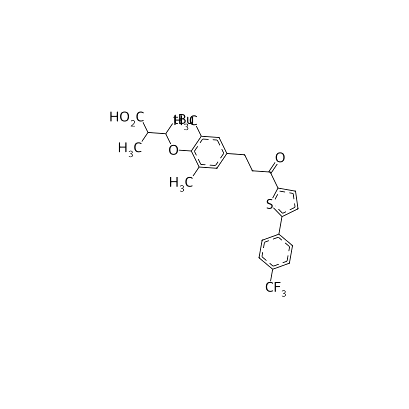 Cc1cc(CCC(=O)c2ccc(-c3ccc(C(F)(F)F)cc3)s2)cc(C)c1OC(C(C)C(=O)O)C(C)(C)C